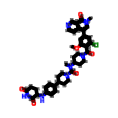 COc1cc(-c2cn(C)c(=O)c3cnccc23)cc(Cl)c1C(=O)N1CCC(N(C)C(=O)N2CCC(c3ccc(NC4CCC(=O)NC4=O)cc3)CC2)CC1